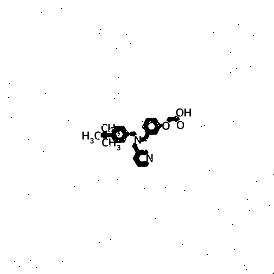 CC(C)(C)c1ccc(CN(Cc2cccnc2)Cc2cccc(OCC(=O)O)c2)cc1